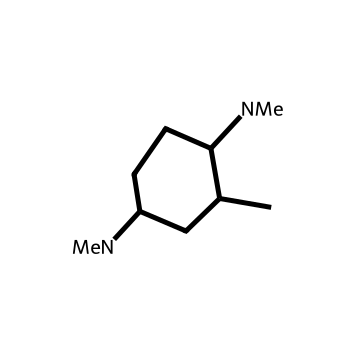 CNC1CCC(NC)C(C)C1